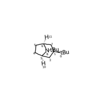 CC(C)(C)[C@H]1C[C@H]2CC[C@@H](C1)N2C(C)(C)C